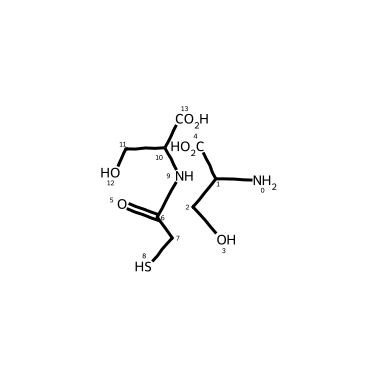 NC(CO)C(=O)O.O=C(CS)NC(CO)C(=O)O